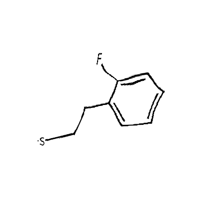 Fc1ccccc1CC[S]